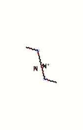 CCCCCCCC/C=C\CCCCCCCCCC(CCCCCCCC/C=C\CCCCCCCC)C[N+](C)(C)C.CN(C)C